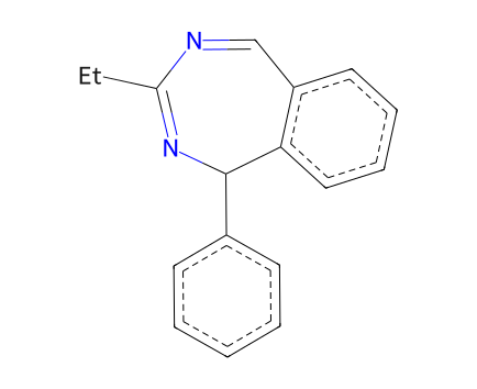 CCC1=NC(c2ccccc2)c2ccccc2C=N1